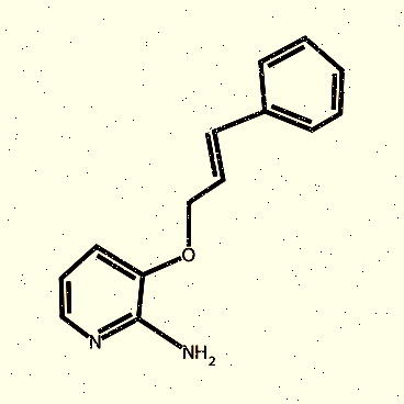 Nc1ncccc1OCC=Cc1ccccc1